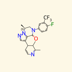 CC1=NC=CC(c2cnn3c2C(=O)N(c2ccc(F)c(C(F)(F)F)c2)C[C@@H]3C)C1C